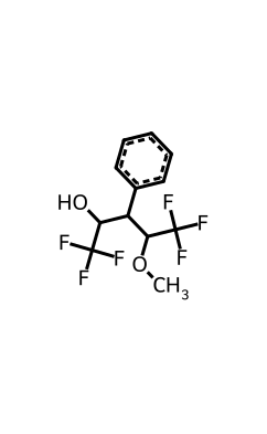 COC(C(c1ccccc1)C(O)C(F)(F)F)C(F)(F)F